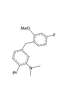 COc1cc(F)ccc1Cc1ccc(C(C)C)c(N(C)C)c1